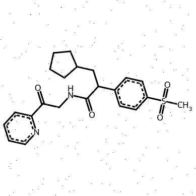 CS(=O)(=O)c1ccc(C(CC2CCCC2)C(=O)NCC(=O)c2ccccn2)cc1